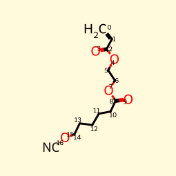 C=CC(=O)OCCOC(=O)CCCCCOC#N